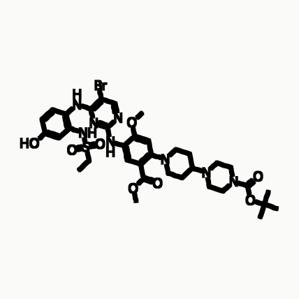 CCS(=O)(=O)Nc1cc(O)ccc1Nc1nc(Nc2cc(C(=O)OC)c(N3CCC(N4CCN(C(=O)OC(C)(C)C)CC4)CC3)cc2OC)ncc1Br